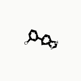 Clc1cccc(-c2ccc3ncsc3c2)c1